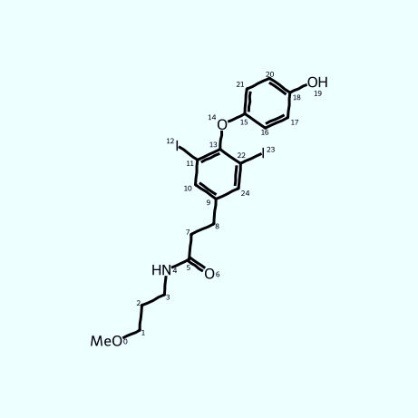 COCCCNC(=O)CCc1cc(I)c(Oc2ccc(O)cc2)c(I)c1